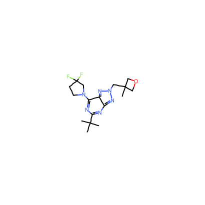 CC1(Cn2nc3nc(C(C)(C)C)nc(N4CCC(F)(F)C4)c3n2)COC1